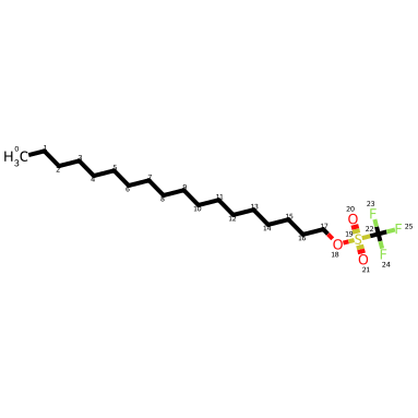 CCCCCCCCCCCCCCCCCCOS(=O)(=O)C(F)(F)F